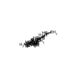 C=CCC=CC(=O)SCCNC(=O)CCNC(=O)C(O)C(C)(C)COP(=O)(O)OP(=O)(O)OCC1OC(C)(n2cnc3c(N)ncnc32)C(O)C1OP(=O)(O)O